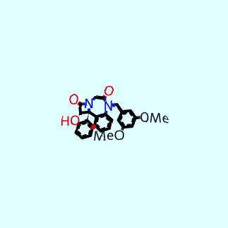 COc1cc(CN2C(=O)CN3C(=O)[C@@H](O)[C@]3(c3ccccc3)c3ccccc32)cc(OC)c1